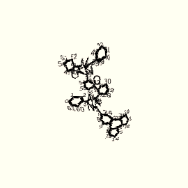 c1ccc(-c2nc(-c3ccc4c5ccccc5c5ccccc5c4c3)nc(-c3cccc4oc5c(-c6nc(-c7ccccc7)nc7c6oc6ccccc67)cccc5c34)n2)cc1